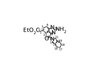 CCOC(=O)Cc1ccc2nc(N)nc(C(=O)n3cc4ccccc4c3)c2c1